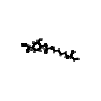 C=CC(=O)OCCCCOC(=O)Oc1ccc(C(=O)O)cc1C